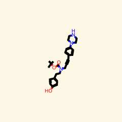 CC(C)(C)OC(=O)N(CC#Cc1ccc(N2CCNCC2)cc1)CCc1ccc(O)cc1